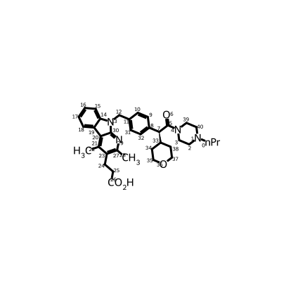 CCCN1CCN(C(=O)[C@H](c2ccc(Cn3c4ccccc4c4c(C)c(CCC(=O)O)c(C)nc43)cc2)C2CCOCC2)CC1